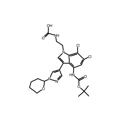 CC(C)(C)OC(=O)Nc1cc(Cl)c(Cl)c2c1c(-c1cnn(C3CCCCO3)c1)cn2CCNC(=O)O